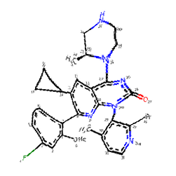 COc1cc(F)ccc1-c1nc2c(cc1C1CC1)c(N1CCNC[C@@H]1C)nc(=O)n2-c1c(C)ccnc1C(C)C